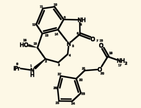 CC(C)N[C@@H]1CCn2c(=O)[nH]c3cccc(c32)[C@H]1O.NC(=O)OCc1ccccc1